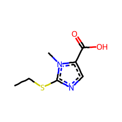 CCSc1ncc(C(=O)O)n1C